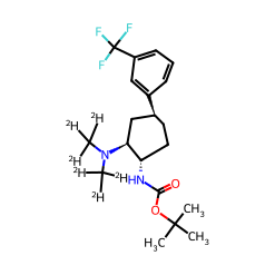 [2H]C([2H])([2H])N([C@H]1C[C@@H](c2cccc(C(F)(F)F)c2)CC[C@@H]1NC(=O)OC(C)(C)C)C([2H])([2H])[2H]